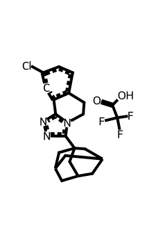 Clc1ccc2c(c1)-c1nnc(C34CC5CC(CC(C5)C3)C4)n1CC2.O=C(O)C(F)(F)F